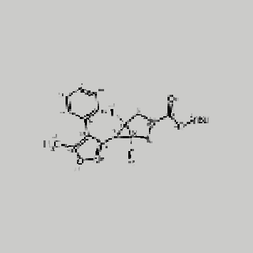 CCCCOC(=O)N1C[C@@H]2C(c3noc(C)c3-c3ccccc3)[C@@H]2C1